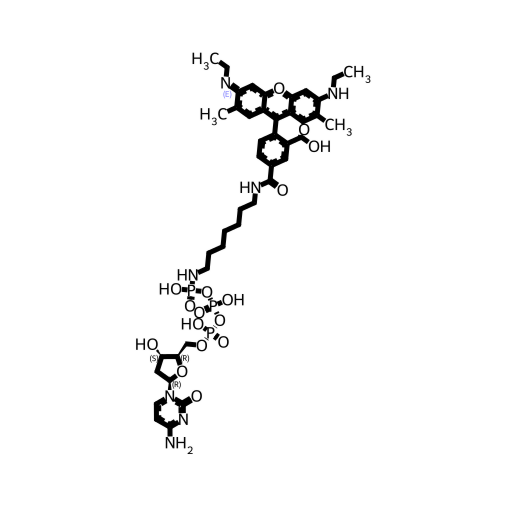 CC/N=c1\cc2oc3cc(NCC)c(C)cc3c(-c3ccc(C(=O)NCCCCCCCNP(=O)(O)OP(=O)(O)OP(=O)(O)OC[C@H]4O[C@@H](n5ccc(N)nc5=O)C[C@@H]4O)cc3C(=O)O)c-2cc1C